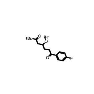 CC(C)OC(CCC(=O)c1ccc(F)cc1)CC(=O)C(C)(C)C